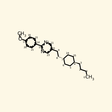 CCCC[C@H]1CC[C@H](CCc2cnc(-c3ccc(OC)cc3)nc2)CC1